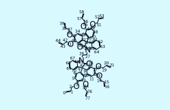 C=CCOc1ccc(C2(c3ccc(OCC=C)c(OCC=C)c3)C(=O)N(CCN3C(=O)C(c4ccc(OCC=C)c(OCC=C)c4)(c4ccc(OCC=C)c(OCC=C)c4)c4ccccc43)c3ccccc32)cc1OCC=C